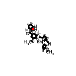 COc1cc(C(=O)N2C[C@H]3CC[C@@H]2[C@@H]3N)cc2nc(-c3ccc(C#N)n3C[C@H]3C[C@]4(OC)CC34)n(C)c12